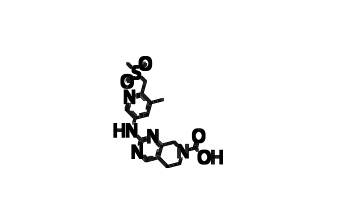 Cc1cc(Nc2ncc3c(n2)CN(C(=O)O)CC3)cnc1CS(C)(=O)=O